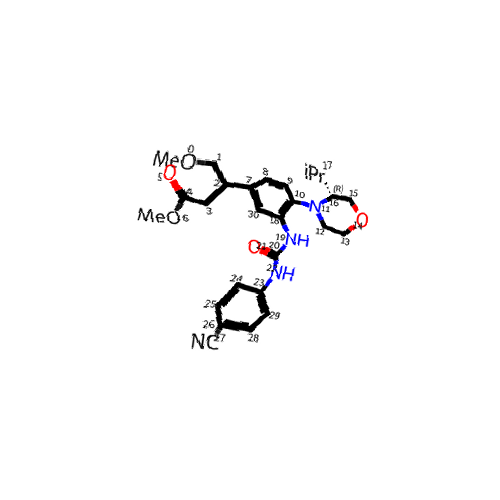 COCC(CC(=O)OC)c1ccc(N2CCOC[C@H]2C(C)C)c(NC(=O)Nc2ccc(C#N)cc2)c1